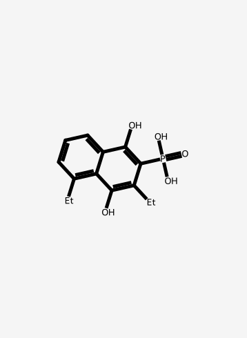 CCc1c(P(=O)(O)O)c(O)c2cccc(CC)c2c1O